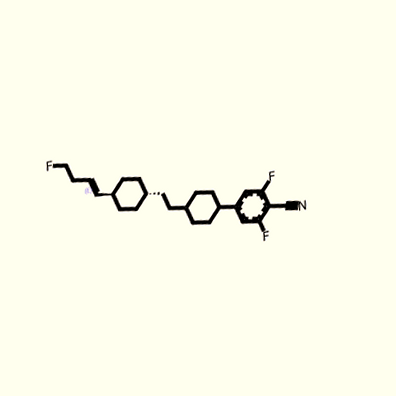 N#Cc1c(F)cc(C2CCC(CC[C@H]3CC[C@H](/C=C/CCF)CC3)CC2)cc1F